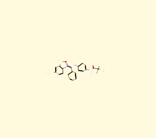 CN(C(=O)C(C)(C)N)c1ccc(N/C(=C2\C(=O)Nc3cc(C#N)ccc32)c2ccccc2)cc1